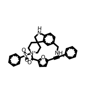 NCc1ccc2c(c1)C1(CC[N+](C(=O)c3ccc(C#Cc4ccccc4)o3)(S(=O)(=O)c3ccccc3)CC1)CN2